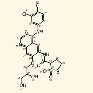 O=C(Nc1cc2c(Nc3ccc(F)c(Cl)c3)ncnc2cc1OCC(O)CO)C1CCSS1(=O)=O